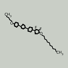 CCCCCCCCCCCCOc1ccc(-c2ccc(-c3ccc(-c4ccc(OCCCCC)cc4)cc3)cc2)c(F)c1F